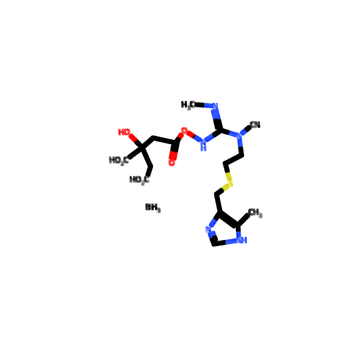 CN=C(NOC(=O)CC(O)(CC(=O)O)C(=O)O)N(C#N)CCSCc1nc[nH]c1C.[BiH3]